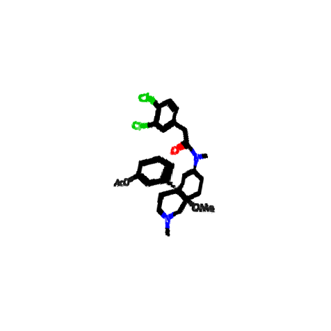 CO[C@]12CC[C@H](N(C)C(=O)Cc3ccc(Cl)c(Cl)c3)C[C@]1(c1cccc(OC(C)=O)c1)CCN(C)C2